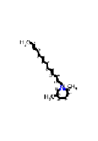 CC=CCCCCCCCCCCCN1CC(C)CCCC1C